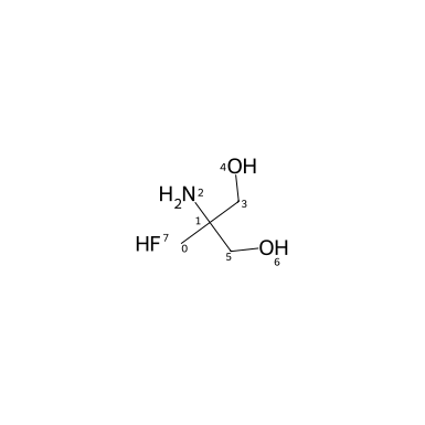 CC(N)(CO)CO.F